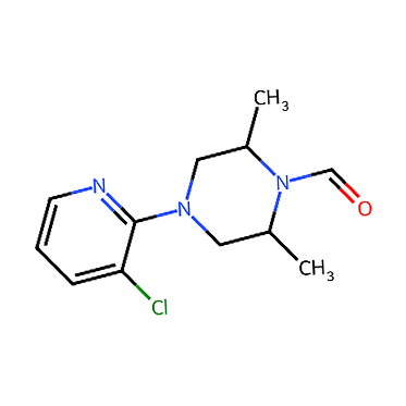 CC1CN(c2ncccc2Cl)CC(C)N1C=O